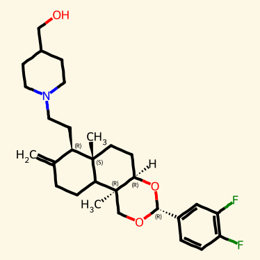 C=C1CCC2[C@]3(C)CO[C@@H](c4ccc(F)c(F)c4)O[C@@H]3CC[C@@]2(C)[C@@H]1CCN1CCC(CO)CC1